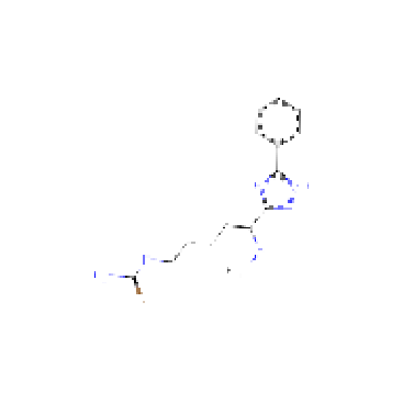 NC(=S)NCCCCC(NC(=O)O)c1n[nH]c(-c2ccccc2)n1